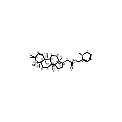 CN1CC=CC=C1CNC(=O)C[C@H]1CC[C@H]2[C@@H]3CC[C@H]4N(C)C(=O)C=C[C@]4(C)[C@H]3CC[C@]12C